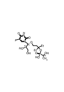 CCC(CC)(CCO[C@H]([C@H](O)CO)n1cc(I)c(=O)[nH]c1=O)OP(=O)(O)[C@H](C)O